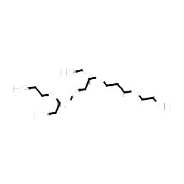 SCCSCCCS[C@H](CS)CSC[C@H](CS)SCCS